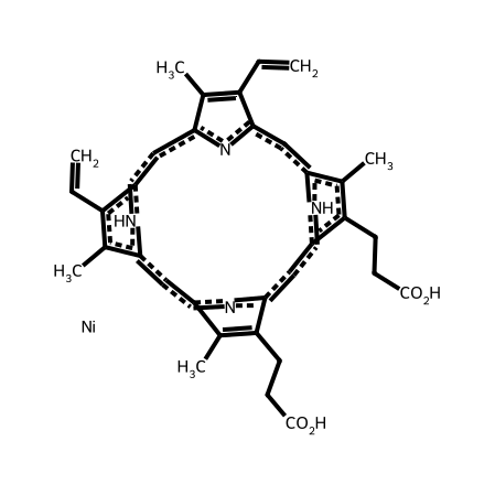 C=CC1=C(C)c2cc3[nH]c(cc4nc(cc5[nH]c(cc1n2)c(C)c5CCC(=O)O)C(CCC(=O)O)=C4C)c(C)c3C=C.[Ni]